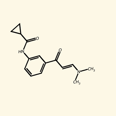 CN(C)C=CC(=O)c1cccc(NC(=O)C2CC2)c1